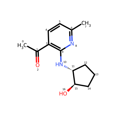 CC(=O)c1ccc(C)nc1N[C@@H]1CCC[C@H]1O